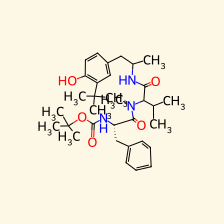 CC(Cc1ccc(O)c(C(C)(C)C)c1)NC(=O)C(C(C)C)N(C)C(=O)[C@H](Cc1ccccc1)NC(=O)OC(C)(C)C